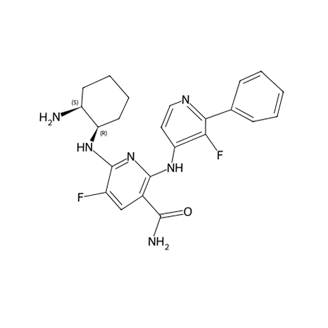 NC(=O)c1cc(F)c(N[C@@H]2CCCC[C@@H]2N)nc1Nc1ccnc(-c2ccccc2)c1F